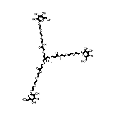 CC(CCOCC(=O)NCCOCCOCCO[C@H]1OC(CO)[C@@H](O)C(O)C1O)(COCCC(=O)NCCOCCOCCO[C@H]1OC(CO)[C@@H](O)C(O)C1O)COCCC(=O)NCCOCCOCCO[C@H]1OC(CO)[C@@H](O)C(O)C1O